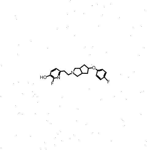 Oc1ccc(CCN2CC3CC(Oc4ccc(F)cc4)CC3C2)nc1F